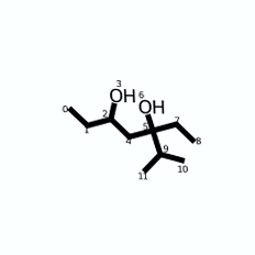 CCC(O)CC(O)(CC)C(C)C